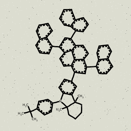 CC(C)(C)c1ccc(N2c3ccc(-c4cc(-c5cccc6ccccc56)c5ccc6c(-c7cccc8ccccc78)cc(-c7cccc8ccccc78)c7ccc4c5c76)cc3C3(C)CCCCC23C)cc1